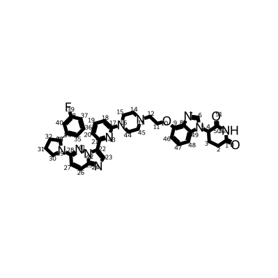 O=C1CCC(n2cnc3c(OCCN4CCN(c5cccc(-c6cnc7ccc(N8CCC[C@@H]8c8cccc(F)c8)nn67)n5)CC4)cccc32)C(=O)N1